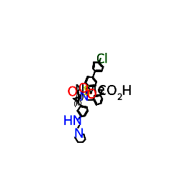 CNC(=O)[C@@]1(N(Cc2cccc(C(=O)O)c2)S(=O)(=O)c2ccc(-c3ccc(Cl)cc3)cc2)C[C@@H]1c1cccc(NCCN2CCCCC2)c1